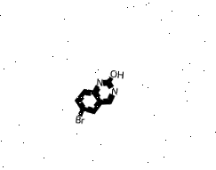 Oc1ncc2cc(Br)ccc2n1